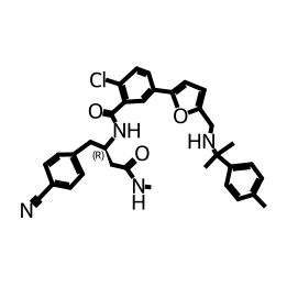 CNC(=O)C[C@@H](Cc1ccc(C#N)cc1)NC(=O)c1cc(-c2ccc(CNC(C)(C)c3ccc(C)cc3)o2)ccc1Cl